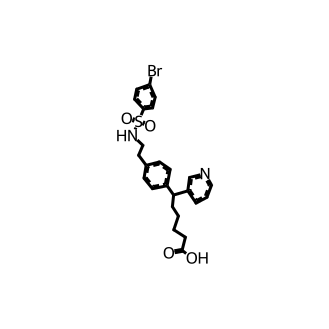 O=C(O)CCCCC(c1ccc(CCNS(=O)(=O)c2ccc(Br)cc2)cc1)c1cccnc1